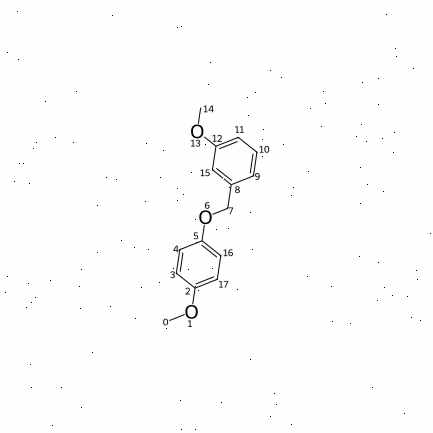 COc1ccc(OCc2cccc(OC)c2)cc1